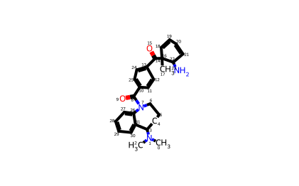 CN(C)C1CCCN(C(=O)c2ccc(C(=O)C3(C)C=CC=CC3N)cc2)c2ccccc21